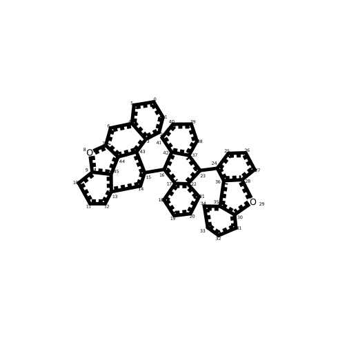 c1ccc2c(c1)cc1oc3cccc4cc(-c5c6ccccc6c(-c6cccc7oc8ccccc8c67)c6ccccc56)c2c1c43